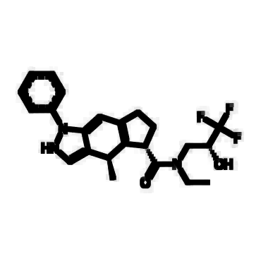 CCN(C[C@@H](O)C(F)(F)F)C(=O)[C@H]1CCC2=C1[C@@H](C)C1=CNN(c3ccccc3)C1=C2